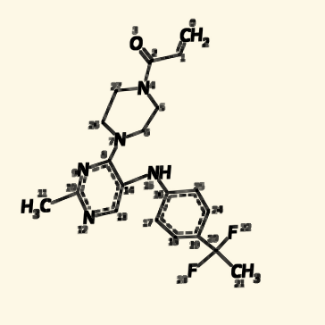 C=CC(=O)N1CCN(c2nc(C)ncc2Nc2ccc(C(C)(F)F)cc2)CC1